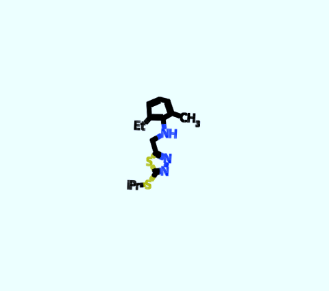 CCc1cccc(C)c1NCc1nnc(SC(C)C)s1